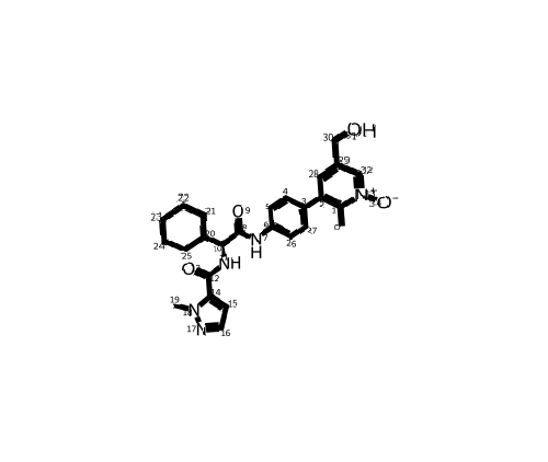 Cc1c(-c2ccc(NC(=O)[C@@H](NC(=O)c3ccnn3C)C3CCCCC3)cc2)cc(CO)c[n+]1[O-]